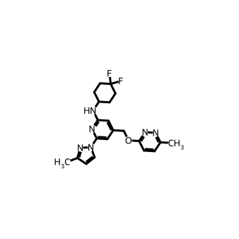 Cc1ccc(OCc2cc(NC3CCC(F)(F)CC3)nc(-n3ccc(C)n3)c2)nn1